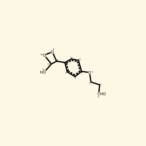 O=CCCOc1ccc(C2OOC2O)cc1